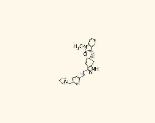 CN1C(=O)[C@@]2(C[C@H]2C2C=Cc3c(/C=C/c4ccc(CN5CCCC5)cc4)n[nH]c3C2)c2ccccc21